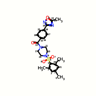 Cc1cc(C)c(S(=O)(=O)N2CCN(C(=O)c3ccc(-c4noc(C)n4)cc3)CC2)c(C)c1